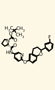 CC(C)(C)OC(=O)N1CCC[C@H]1C(=O)Nc1ccc(Oc2ccc3c(c2)CCC(c2cccc(F)c2)O3)nc1